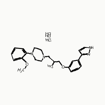 COc1ccccc1N1CCN(CC(O)COc2cccc(-c3cc[nH]n3)c2)CC1.Cl.Cl.Cl